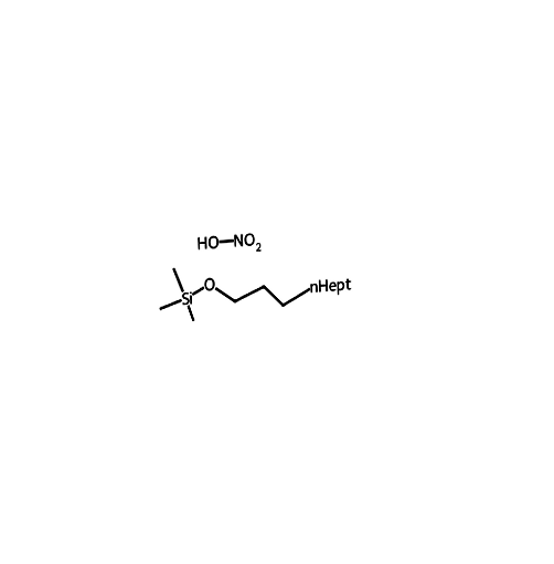 CCCCCCCCCCO[Si](C)(C)C.O=[N+]([O-])O